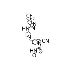 N#Cc1cc2cc(CN3CCC(Nc4ncnc5sc(CC(F)(F)F)cc45)CC3)ccc2n1C[C@H]1CNC(=O)CO1